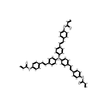 C=CC(=O)Oc1ccc(C=Cc2ccc(N(c3ccc(C=Cc4ccc(OC(=O)C=C)cc4)cc3)c3ccc(C=Cc4ccc(OC(=O)C=C)cc4)cc3)cc2)cc1